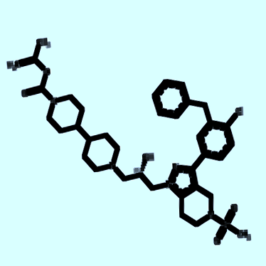 C=C(C)OC(=O)N1CCC(C2CCN(C[C@H](O)Cn3nc(-c4ccc(Cl)c(Cc5ccccc5)c4)c4c3CCN(S(C)(=O)=O)C4)CC2)CC1